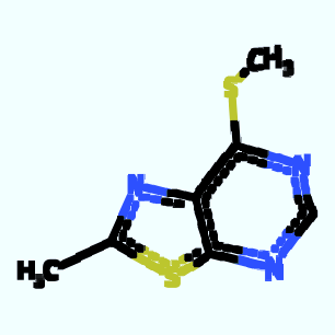 CSc1ncnc2sc(C)nc12